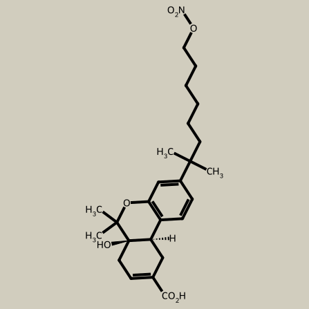 CC(C)(CCCCCCO[N+](=O)[O-])c1ccc2c(c1)OC(C)(C)[C@@]1(O)CC=C(C(=O)O)C[C@H]21